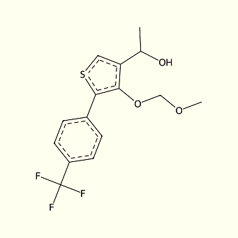 COCOc1c(C(C)O)csc1-c1ccc(C(F)(F)F)cc1